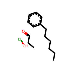 CCC=O.CCCCCCc1ccccc1.OCl